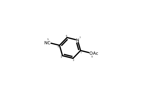 CC(=O)Oc1c[c]c(C#N)cn1